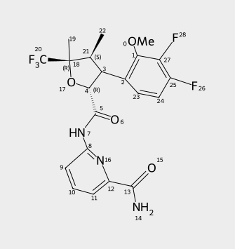 COc1c(C2[C@H](C(=O)Nc3cccc(C(N)=O)n3)O[C@@](C)(C(F)(F)F)[C@H]2C)ccc(F)c1F